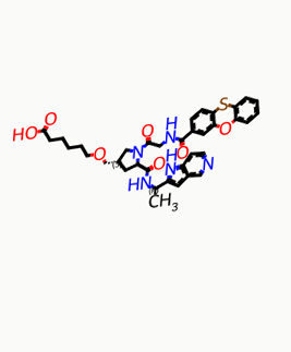 C[C@@H](NC(=O)C1C[C@H](COCCCCCC(=O)O)CN1C(=O)CNC(=O)c1ccc2c(c1)Oc1ccccc1S2)c1cc2cnccc2[nH]1